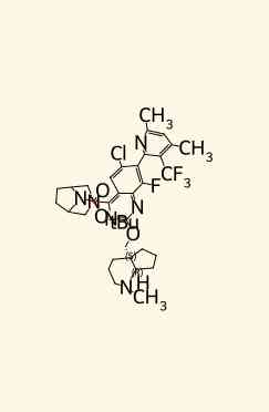 Cc1cc(C)c(C(F)(F)F)c(-c2c(Cl)cc3c(N4CC5CCC(C4)N5C(=O)OC(C)(C)C)nc(OC[C@]45CCC[C@H]4N(C)CCC5)nc3c2F)n1